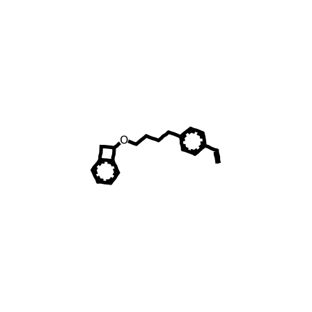 C=Cc1ccc(CCCCOC2Cc3ccccc32)cc1